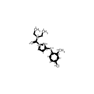 CCN(CC)C(=O)n1ccc(Sc2ccc(Cl)cc2C)n1